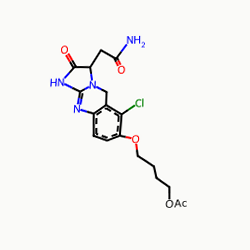 CC(=O)OCCCCOc1ccc2c(c1Cl)CN1C(=N2)NC(=O)C1CC(N)=O